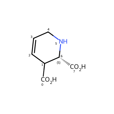 O=C(O)C1C=CCN[C@@H]1C(=O)O